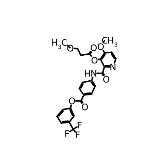 COCCC(=O)Oc1c(OC)ccnc1C(=O)Nc1ccc(C(=O)Oc2cccc(C(F)(F)F)c2)cc1